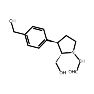 O=CBN1CC[C@H](c2ccc(CO)cc2)[C@H]1CO